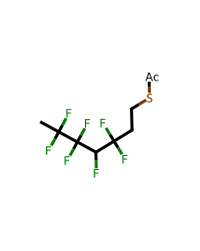 CC(=O)SCCC(F)(F)C(F)C(F)(F)C(C)(F)F